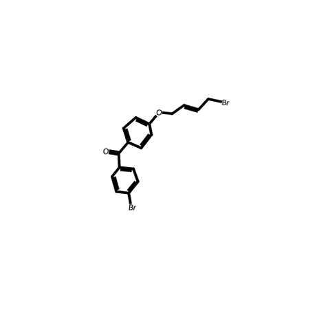 O=C(c1ccc(Br)cc1)c1ccc(OCC=CCBr)cc1